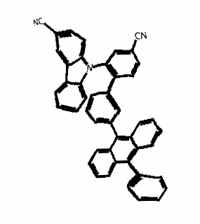 N#Cc1ccc(-c2cccc(-c3c4ccccc4c(-c4ccccc4)c4ccccc34)c2)c(-n2c3ccccc3c3cc(C#N)ccc32)c1